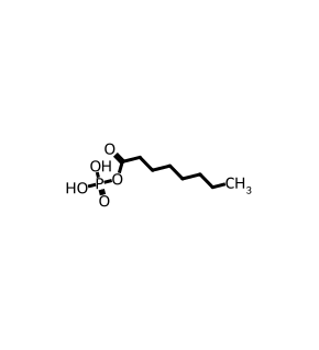 CCCCCCCC(=O)OP(=O)(O)O